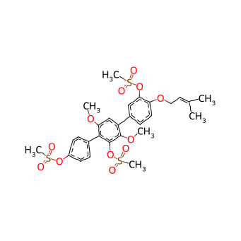 COc1cc(-c2ccc(OCC=C(C)C)c(OS(C)(=O)=O)c2)c(OC)c(OS(C)(=O)=O)c1-c1ccc(OS(C)(=O)=O)cc1